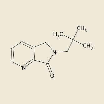 CC(C)(C)CN1Cc2cccnc2C1=O